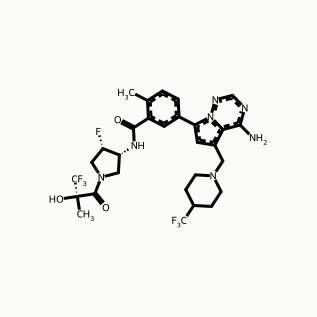 Cc1ccc(-c2cc(CN3CCC(C(F)(F)F)CC3)c3c(N)ncnn23)cc1C(=O)N[C@@H]1CN(C(=O)[C@@](C)(O)C(F)(F)F)C[C@@H]1F